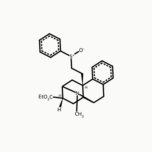 CCOC(=O)[C@H]1CC2C3Cc4ccccc4[C@@]2(CC[S+]([O-])c2ccccc2)CC1N3C